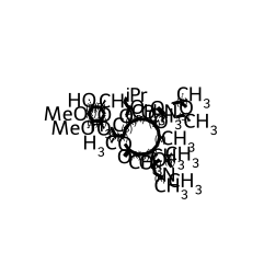 CO[C@@H]1[C@H](O)[C@@H](C)O[C@@H](OC[C@H](C)[C@H]2OC(=O)[C@H](C)[C@@H](O[C@H]3C[C@@H](C)N(C)C[C@H](C)O3)[C@H](C)C[C@@H](C)C[C@](C)(OC(=O)N3C[C@H](C)O[C@@H](C)C3)C(=O)[C@H](C)[C@H](OC(=O)CC(C)C)[C@H]2C)[C@@H]1OC